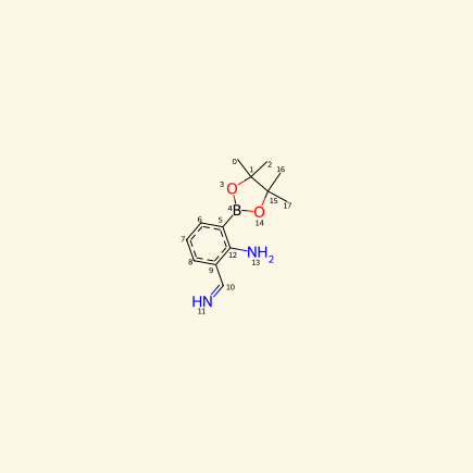 CC1(C)OB(c2cccc(C=N)c2N)OC1(C)C